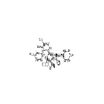 Cc1ccc(-c2nc(C(=O)O)c(C(=O)NN3CCCCC3)nc2-c2ccc(C)cc2)cc1